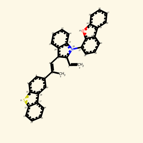 C=Cc1c(/C=C(\C)c2ccc3sc4ccccc4c3c2)c2ccccc2n1-c1cccc2c1oc1ccccc12